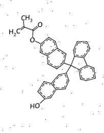 C=C(C)C(=O)Oc1ccc2cc(C3(c4ccc5cc(O)ccc5c4)c4ccccc4-c4ccccc43)ccc2c1